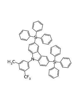 Cc1cc(-n2c3ccc([Si](c4ccccc4)(c4ccccc4)c4ccccc4)cc3c3cc([Si](c4ccccc4)(c4ccccc4)c4ccccc4)ccc32)cc(C(F)(F)F)c1